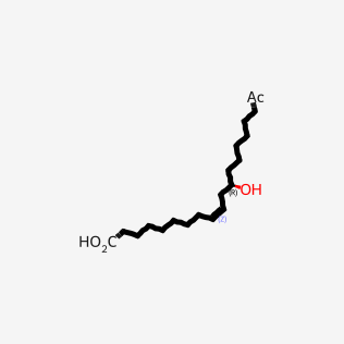 CC(=O)CCCCCC[C@@H](O)C/C=C\CCCCCCCC(=O)O